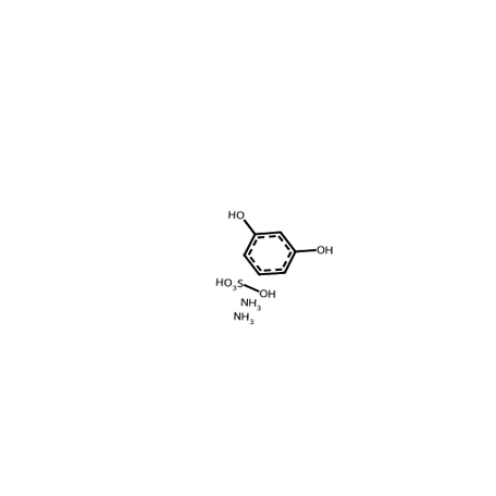 N.N.O=S(=O)(O)O.Oc1cccc(O)c1